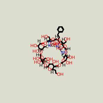 OCC[C@H]1O[C@@H]2O[C@H]3C(O)C(O)[C@@H](O[C@@H]4C5CNCCN(CCCCc6ccccc6)CCNCC6O[C@H](O[C@H]1C(O)C2O)C(O)C(O)[C@@H]6O[C@H]1OC(CO)[C@@H](O[C@H]2OC(CO)[C@@H](O[C@@H](O5)C(O)C4O)C(O)C2O)C(O)C1O)O[C@@H]3CO